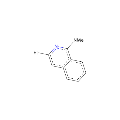 CCc1cc2ccccc2c(NC)n1